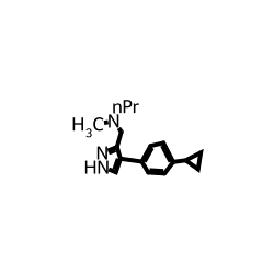 CCCN(C)Cc1n[nH]cc1-c1ccc(C2CC2)cc1